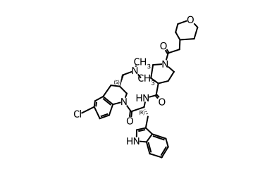 CN(C)C[C@@H]1Cc2cc(Cl)ccc2N(C(=O)[C@@H](Cc2c[nH]c3ccccc23)NC(=O)C2CCN(C(=O)CC3CCOCC3)CC2)C1